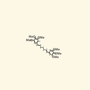 COc1cc(C=CCCCC=Cc2cc(OC)c(OC)c(OC)c2)cc(OC)c1OC